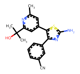 Cc1cc(-c2sc(N)nc2-c2cccc(C#N)c2)cc(C(C)(C)O)n1